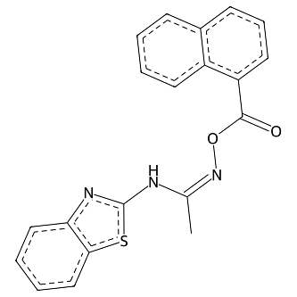 CC(=NOC(=O)c1cccc2ccccc12)Nc1nc2ccccc2s1